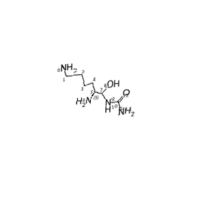 NCCCC[C@H](N)C(O)NC(N)=O